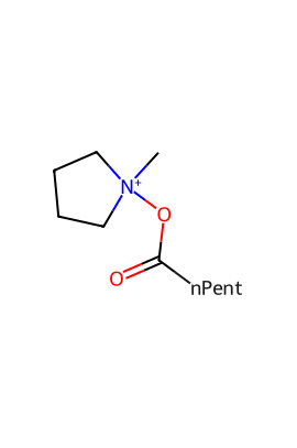 CCCCCC(=O)O[N+]1(C)CCCC1